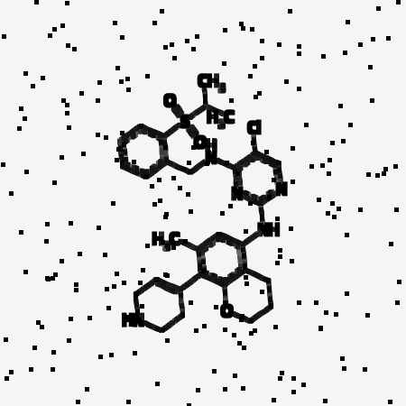 Cc1cc(Nc2ncc(Cl)c(NCc3ccccc3S(=O)(=O)C(C)C)n2)c2c(c1C1=CCNCC1)OCCC2